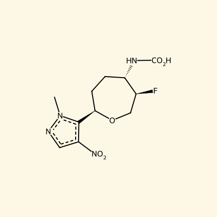 Cn1ncc([N+](=O)[O-])c1[C@H]1CC[C@H](NC(=O)O)[C@@H](F)CO1